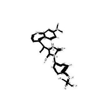 CC(c1ccnc2cc(N(C)C)ccc12)C1NC(=O)N(c2ccc(SC(F)(F)F)cc2)C1=O